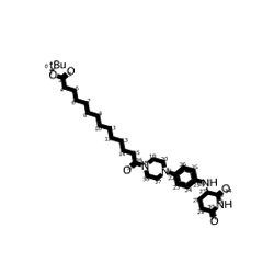 CC(C)(C)OC(=O)CCCCCCCCCCCCC(=O)N1CCN(c2ccc(N[C@H]3CCC(=O)NC3=O)cc2)CC1